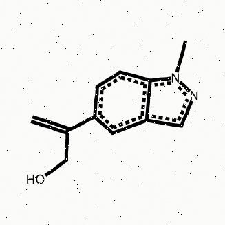 C=C(CO)c1ccc2c(cnn2C)c1